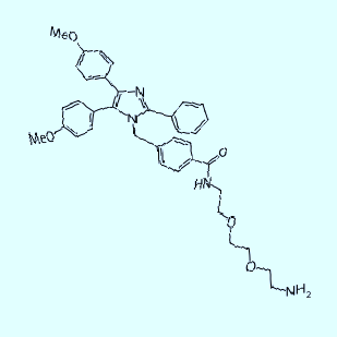 COc1ccc(-c2nc(-c3ccccc3)n(Cc3ccc(C(=O)NCCOCCOCCN)cc3)c2-c2ccc(OC)cc2)cc1